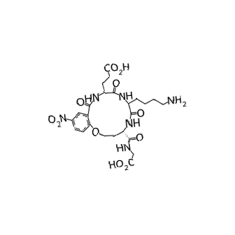 NCCCCC1NC(=O)C(CCC(=O)O)NC(=O)c2cc([N+](=O)[O-])ccc2OCC[C@@H](C(=O)NCC(=O)O)NC1=O